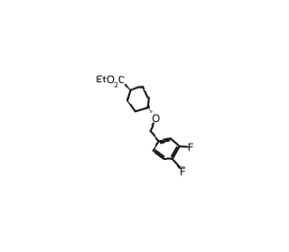 CCOC(=O)[C@H]1CC[C@H](OCc2ccc(F)c(F)c2)CC1